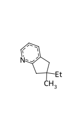 CCC1(C)Cc2cccnc2C1